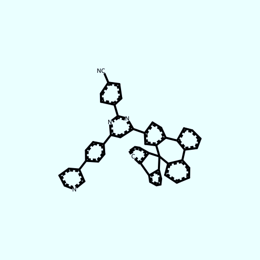 N#Cc1ccc(-c2nc(-c3ccc(-c4cccnc4)cc3)cc(-c3ccc4c(c3)C3(c5ccccc5-c5ccccc5-4)c4ccccc4-c4ccccc43)n2)cc1